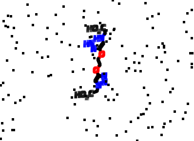 N=N/C(=C\NCC(=O)O)OCCOc1cn(CC(=O)O)nn1